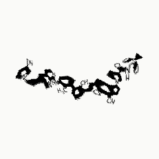 Cc1c(Nc2nccc3cc(CN4CC[C@@H](O)C4)cnc23)cccc1-c1cccc(-c2cc3cc4c(c(C#N)c3o2)CC[C@H]4N2CC[C@@H](C(=O)NS(=O)(=O)C3CC3)C2)c1C